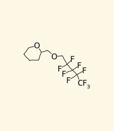 FC(F)(F)C(F)(F)C(F)(F)C(F)(F)COCC1CCCCO1